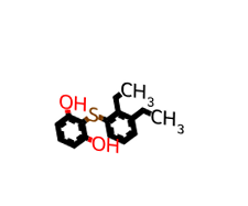 CCc1cccc(Sc2c(O)cccc2O)c1CC